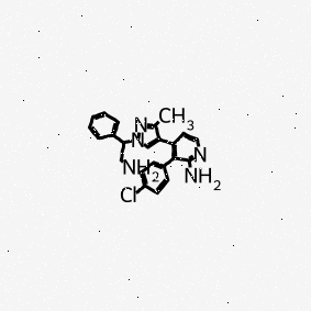 Cc1nn(C(CN)c2ccccc2)cc1-c1ccnc(N)c1-c1ccc(Cl)cc1